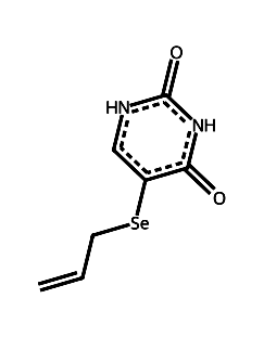 C=CC[Se]c1c[nH]c(=O)[nH]c1=O